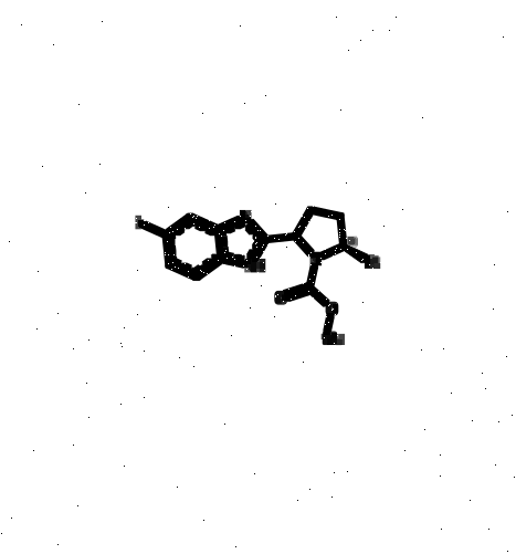 CC[C@@H]1CCC(c2nc3cc(I)ccc3[nH]2)N1C(=O)OC(C)(C)C